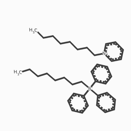 CCCCCCCC[B-](c1ccccc1)(c1ccccc1)c1ccccc1.CCCCCCCC[n+]1ccccc1